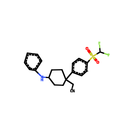 N#CCC1(c2c[c]c(S(=O)(=O)C(F)F)cc2)CCC(Nc2ccccc2)CC1